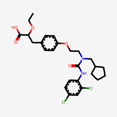 CCOC(Cc1ccc(OCCN(CC2CCCC2)C(=O)Nc2ccc(Cl)cc2Cl)cc1)C(=O)O